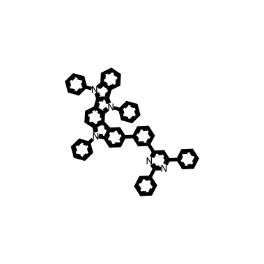 c1ccc(-c2cc(-c3cccc(-c4ccc5c(c4)c4c(ccc6c7c(c8ccccc8n7-c7ccccc7)n(-c7ccccc7)c64)n5-c4ccccc4)c3)nc(-c3ccccc3)n2)cc1